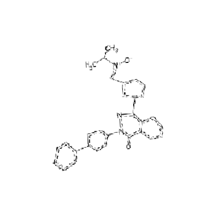 CC(C)/[N+]([O-])=C/c1cccc(-c2nn(-c3ccc(-c4ccccc4)cc3)c(=O)c3ccccc23)c1